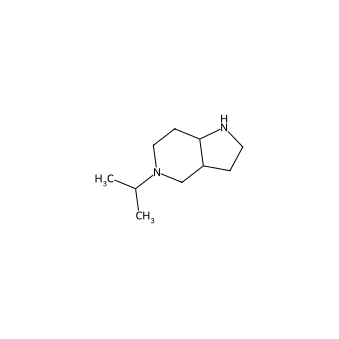 CC(C)N1CCC2NCCC2C1